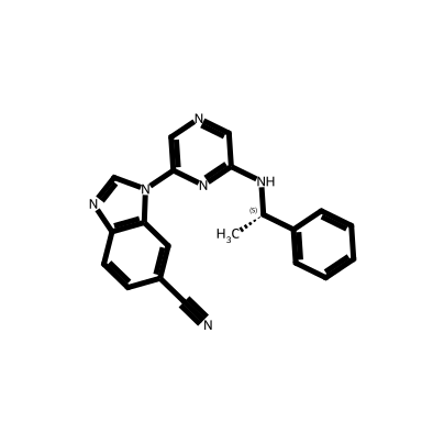 C[C@H](Nc1cncc(-n2cnc3ccc(C#N)cc32)n1)c1ccccc1